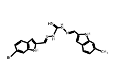 Cc1ccc2cc(/C=N/NC(=N)N/N=C/c3cc4ccc(Br)cc4[nH]3)[nH]c2c1